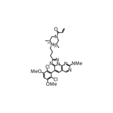 C=CC(=O)N1C[C@@H](C)N(CCCc2nc3c(-c4c(Cl)c(OC)cc(OC)c4Cl)cc4cnc(NC)nc4n3n2)[C@@H](C)C1